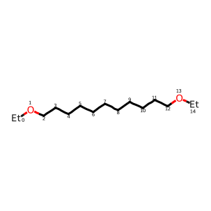 [CH2]COCCCCCCCCCCCOCC